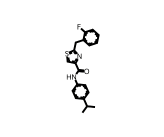 CC(C)c1ccc(NC(=O)c2csc(Cc3ccccc3F)n2)cc1